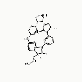 C[C@@H]1N(c2cccc(N3C(=O)OC[C@@H]3C)n2)c2nc(Nc3ccc([C@@H]4CCNC4)cc3)ncc2[C@]1(C)COC(C)(C)C